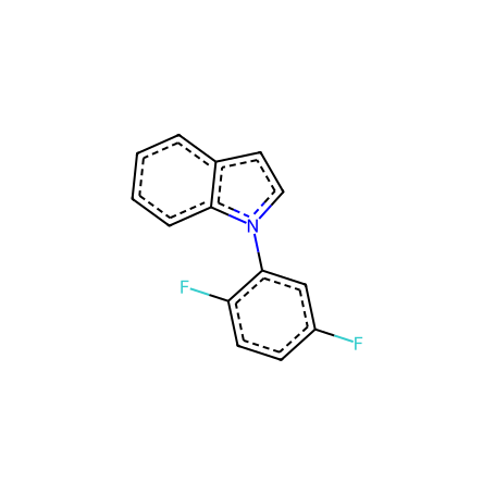 Fc1ccc(F)c(-n2ccc3ccccc32)c1